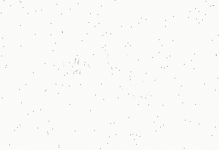 CCCc1c(OCc2cccc(S(=O)(=O)c3ccc(-c4nn[nH]n4)cc3)c2)ccc(C(C)=O)c1O